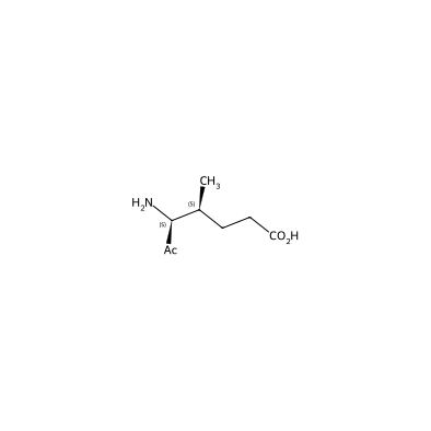 CC(=O)[C@@H](N)[C@@H](C)CCC(=O)O